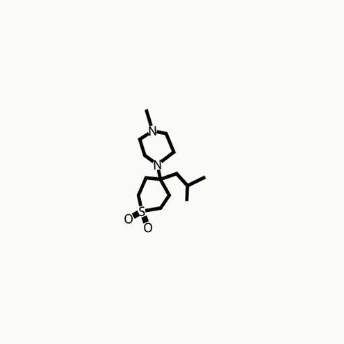 CC(C)CC1(N2CCN(C)CC2)CCS(=O)(=O)CC1